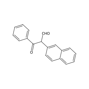 O=CC(C(=O)c1ccccc1)c1ccc2ccccc2c1